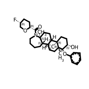 C[C@]12CC[C@H]3[C@@H](CC[C@@]4(C)[C@@H](Oc5ccccc5)[C@@H](O)CC[C@]34C)[C@@H]1CCCCN2C(=O)[C@H]1CC[C@@H](F)CO1